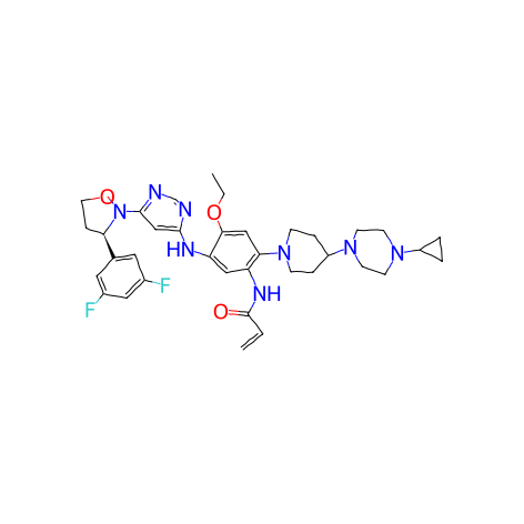 C=CC(=O)Nc1cc(Nc2cc(N3OCC[C@@H]3c3cc(F)cc(F)c3)ncn2)c(OCC)cc1N1CCC(N2CCN(C3CC3)CC2)CC1